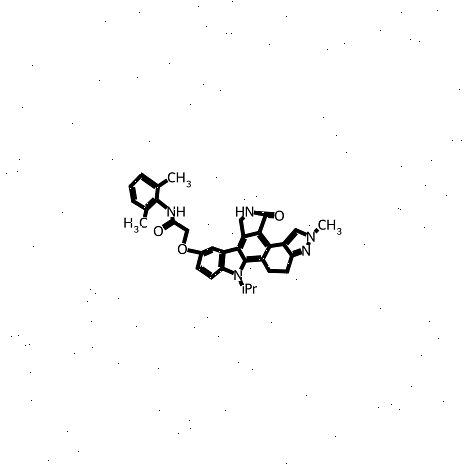 Cc1cccc(C)c1NC(=O)COc1ccc2c(c1)c1c3c(c4c(c1n2C(C)C)CCc1nn(C)cc1-4)C(=O)NC3